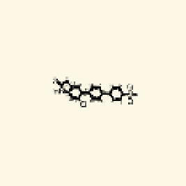 CS(=O)(=O)c1ccc(-c2ccc(-c3cc4c(cc3Cl)NC(=O)C4)cc2)cc1